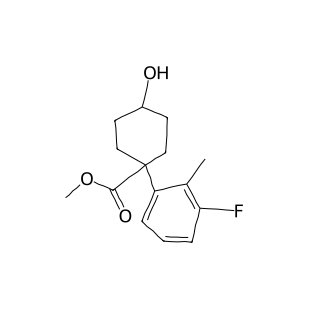 COC(=O)C1(c2cccc(F)c2C)CCC(O)CC1